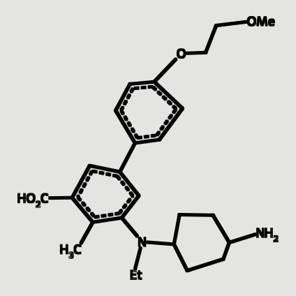 CCN(c1cc(-c2ccc(OCCOC)cc2)cc(C(=O)O)c1C)C1CCC(N)CC1